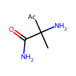 CC(=O)C(C)(N)C(N)=O